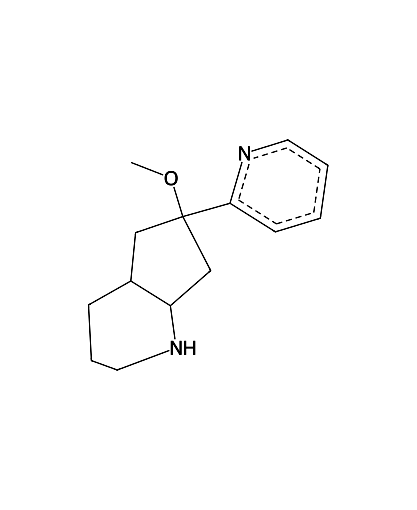 COC1(c2ccccn2)CC2CCCNC2C1